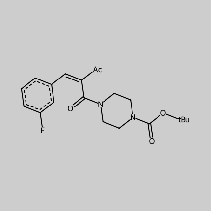 CC(=O)C(=Cc1cccc(F)c1)C(=O)N1CCN(C(=O)OC(C)(C)C)CC1